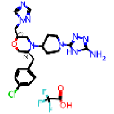 Nc1nnc(N2CCC(N3C[C@H](Cn4cncn4)OC[C@@H]3Cc3ccc(Cl)cc3)CC2)[nH]1.O=C(O)C(F)(F)F